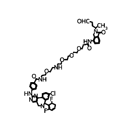 CC(CCC=O)N1Cc2c(NC(=O)CCOCCOCCOCCNCCOCCNC(=O)c3ccc(Nc4ncc5c(n4)-c4ccc(Cl)cc4C(C4=C(F)C=CCC4F)=NC5)cc3)cccc2C1=O